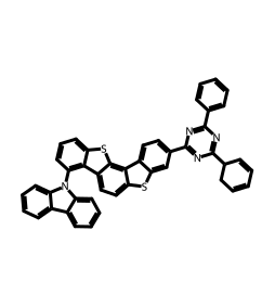 C1=CCC(c2nc(-c3ccccc3)nc(-c3ccc4c(c3)sc3ccc5c(sc6cccc(-n7c8ccccc8c8ccccc87)c65)c34)n2)C=C1